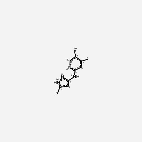 Cc1cc(Nc2cc(C)c(F)cn2)n[nH]1